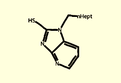 CCCCCCCCn1c(S)nc2ncccc21